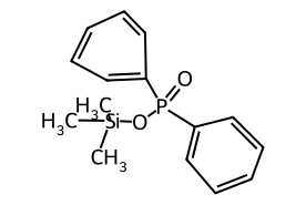 C[Si](C)(C)OP(=O)(c1ccccc1)c1ccccc1